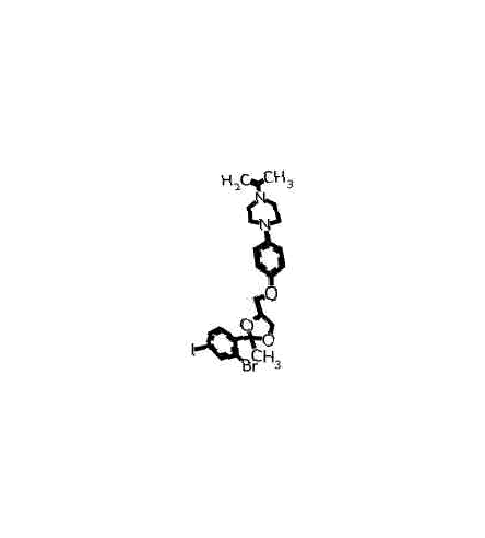 C=C(C)N1CCN(c2ccc(OCC3COC(C)(c4ccc(I)cc4Br)O3)cc2)CC1